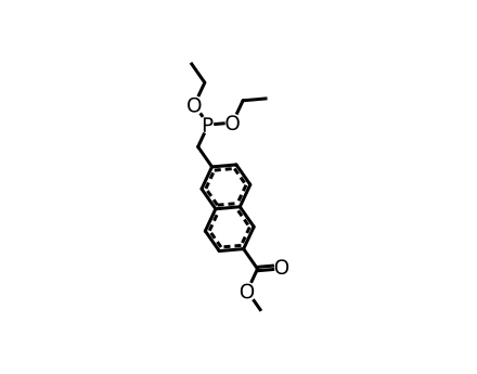 CCOP(Cc1ccc2cc(C(=O)OC)ccc2c1)OCC